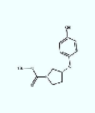 CC(C)(C)OC(=O)N1CC[C@@H](Oc2ccc(C#N)cc2)C1